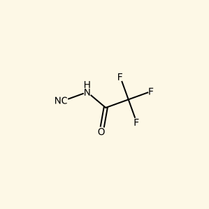 N#CNC(=O)C(F)(F)F